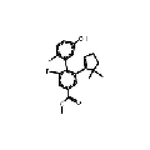 COC(=O)c1cc(F)c(-c2cc(O)ccc2F)c(C2=CCCC2(C)C)c1